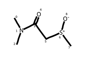 CN(C)C(=O)C[S+](C)[O-]